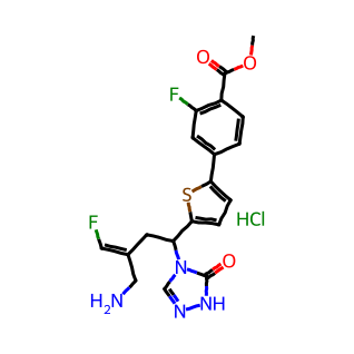 COC(=O)c1ccc(-c2ccc(C(C/C(=C\F)CN)n3cn[nH]c3=O)s2)cc1F.Cl